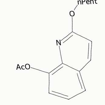 CCCCCOc1ccc2cccc(OC(C)=O)c2n1